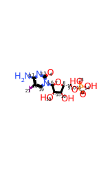 Nc1nc(=O)n(C2O[C@H](COP(=O)(O)O)[C@@H](O)[C@H]2O)cc1I